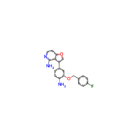 Nc1ccc(-c2coc3ccnc(N)c23)cc1OCc1ccc(F)cc1